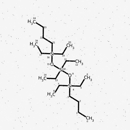 CCCC[Si](CC)(CC)O[Si](CC)(CC)O[Si](CC)(CC)CCCC